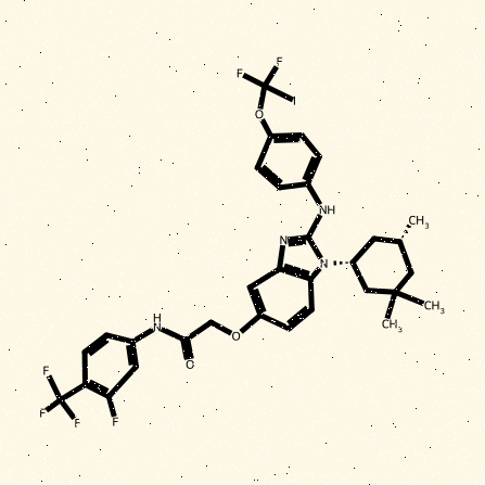 C[C@H]1C[C@@H](n2c(Nc3ccc(OC(F)(F)I)cc3)nc3cc(OCC(=O)Nc4ccc(C(F)(F)F)c(F)c4)ccc32)CC(C)(C)C1